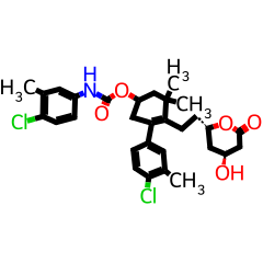 Cc1cc(NC(=O)OC2CC(c3ccc(Cl)c(C)c3)=C(CC[C@H]3C[C@H](O)CC(=O)O3)C(C)(C)C2)ccc1Cl